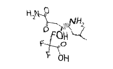 CC(C)C[C@H](N)[C@@H](O)CC(=O)C(N)=O.O=C(O)C(F)(F)F